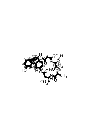 C[C@H](O)C(=O)N[C@@H](CC(=O)OC1=CC[C@@]2(OC(=O)C[C@H](NC(=O)[C@H](C)O)C(=O)O)[C@@H]3CCC[C@@]24c2c(ccc(O)c2O[C@@H]14)C3)C(=O)O